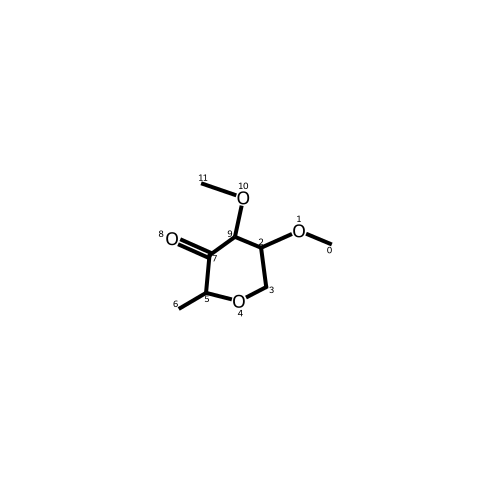 COC1COC(C)C(=O)C1OC